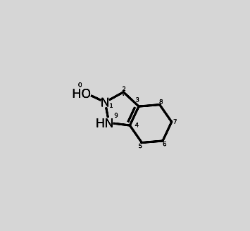 ON1[CH]C2=C(CCCC2)N1